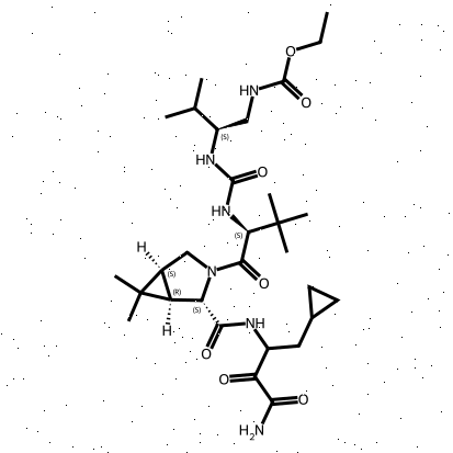 CCOC(=O)NC[C@@H](NC(=O)N[C@H](C(=O)N1C[C@H]2[C@@H]([C@H]1C(=O)NC(CC1CC1)C(=O)C(N)=O)C2(C)C)C(C)(C)C)C(C)C